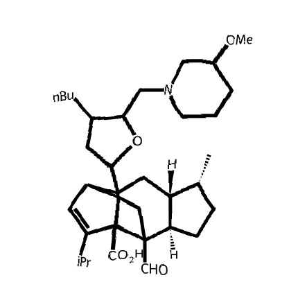 CCCCC1CC(C23C[C@@H]4[C@H](C)CC[C@H]4C4(C=O)CC2C=C(C(C)C)C34C(=O)O)OC1CN1CCCC(OC)C1